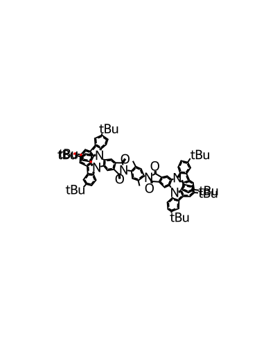 Cc1cc(N2C(=O)c3cc(-n4c5ccc(C(C)(C)C)cc5c5cc(C(C)(C)C)ccc54)c(-n4c5ccc(C(C)(C)C)cc5c5cc(C(C)(C)C)ccc54)cc3C2=O)c(C)cc1N1C(=O)c2cc(-n3c4ccc(C(C)(C)C)cc4c4cc(C(C)(C)C)ccc43)c(-n3c4ccc(C(C)(C)C)cc4c4cc(C(C)(C)C)ccc43)cc2C1=O